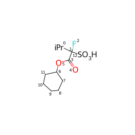 CC(C)C(F)(C(=O)OC1CCCCC1)S(=O)(=O)O